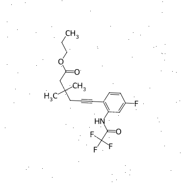 CCCOC(=O)CC(C)(C)CC#Cc1ccc(F)cc1NC(=O)C(F)(F)F